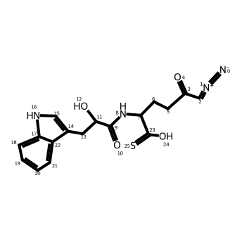 [N-]=[N+]=CC(=O)CCC(NC(=O)C(O)Cc1c[nH]c2ccccc12)C(O)=S